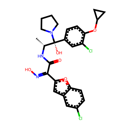 C[C@@H](NC(=O)C(=NO)c1cc2cc(Cl)ccc2o1)[C@](O)(c1ccc(OC2CC2)c(Cl)c1)N1CCCC1